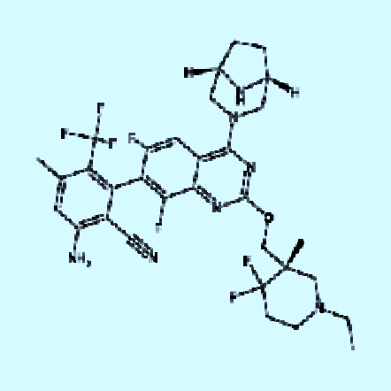 CCN1CCC(F)(F)[C@](C)(COc2nc(N3C[C@H]4CC[C@@H](C3)N4)c3cc(F)c(-c4c(C#N)c(N)cc(C)c4C(F)(F)F)c(F)c3n2)C1